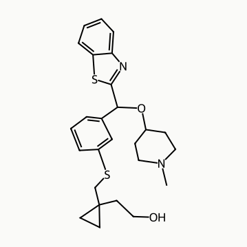 CN1CCC(OC(c2cccc(SCC3(CCO)CC3)c2)c2nc3ccccc3s2)CC1